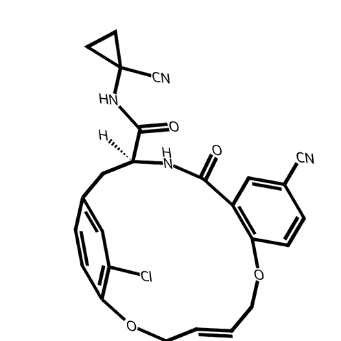 N#Cc1ccc2c(c1)C(=O)N[C@H](C(=O)NC1(C#N)CC1)Cc1ccc(c(Cl)c1)OC/C=C/CO2